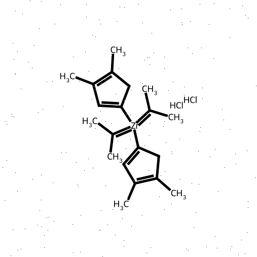 CC1=C(C)C[C]([Zr]([C]2=CC(C)=C(C)C2)(=[C](C)C)=[C](C)C)=C1.Cl.Cl